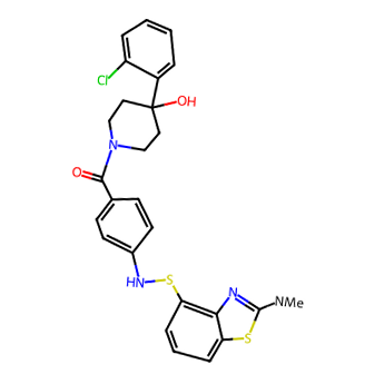 CNc1nc2c(SNc3ccc(C(=O)N4CCC(O)(c5ccccc5Cl)CC4)cc3)cccc2s1